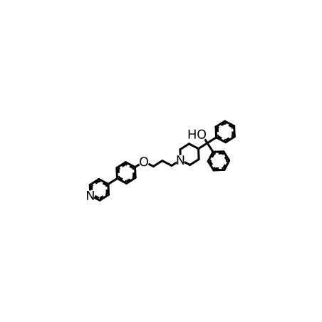 OC(c1ccccc1)(c1ccccc1)C1CCN(CCCOc2ccc(-c3ccncc3)cc2)CC1